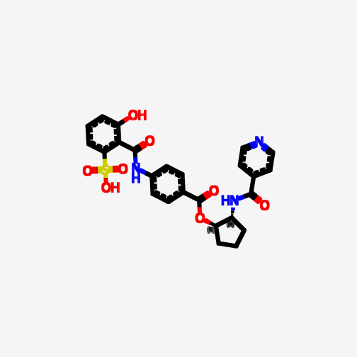 O=C(N[C@@H]1CCC[C@H]1OC(=O)c1ccc(NC(=O)c2c(O)cccc2S(=O)(=O)O)cc1)c1ccncc1